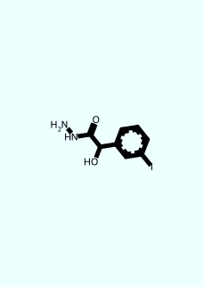 NNC(=O)C(O)c1cccc(I)c1